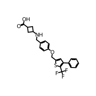 O=C(O)C1CC(NCc2ccc(OCc3cc(-c4ccccc4)c(C(F)(F)F)s3)cc2)C1